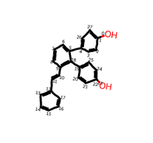 Oc1ccc(-c2cccc(C=Cc3ccccc3)c2-c2ccc(O)cc2)cc1